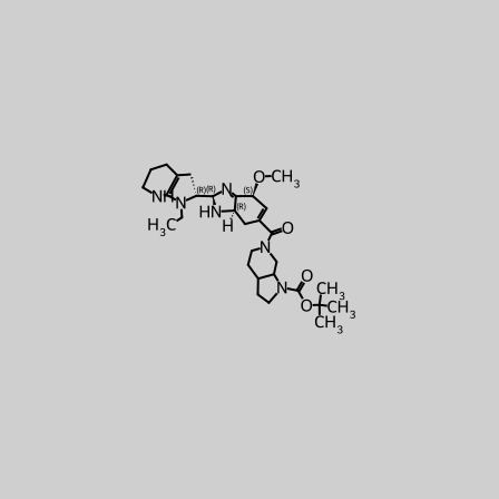 CCN1C2=C(CCCN2)C[C@@H]1[C@H]1N=C2[C@@H](OC)C=C(C(=O)N3CCC4CCN(C(=O)OC(C)(C)C)C4C3)C[C@H]2N1